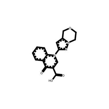 O=C(O)c1cn(-c2cc3n(n2)CCOC3)c2ccccc2c1=O